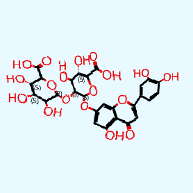 O=C(O)C1O[C@@H](Oc2cc(O)c3c(=O)cc(-c4ccc(O)c(O)c4)oc3c2)[C@@H](O[C@@H]2OC(C(=O)O)[C@@H](O)[C@H](O)C2O)C(O)[C@@H]1O